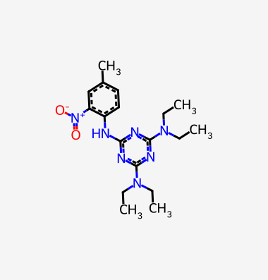 CCN(CC)c1nc(Nc2ccc(C)cc2[N+](=O)[O-])nc(N(CC)CC)n1